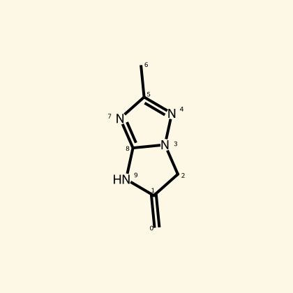 C=C1Cn2nc(C)nc2N1